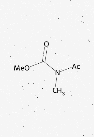 COC(=O)N(C)C(C)=O